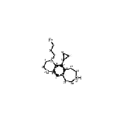 FCCCN1CCOc2cc3c(c(C4CC4)c21)CCNCC3